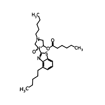 CCCCCC(=O)OC1CN(CCCCC)C[N+]1([O-])c1nc2c(CCCCC)cccc2s1